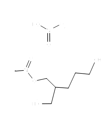 CCCCC(CC)CO[N+](=O)[O-].O=[N+]([O-])O